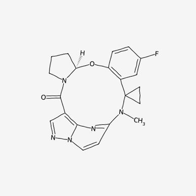 CN1c2ccn3ncc(c3n2)C(=O)N2CCC[C@H]2Oc2ccc(F)cc2C12CC2